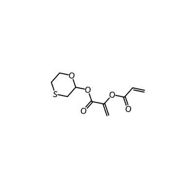 C=CC(=O)OC(=C)C(=O)OC1CSCCO1